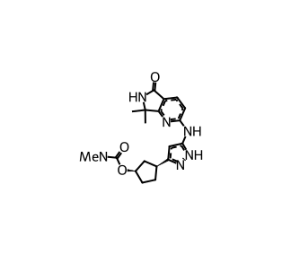 CNC(=O)O[C@@H]1CC[C@H](c2cc(Nc3ccc4c(n3)C(C)(C)NC4=O)[nH]n2)C1